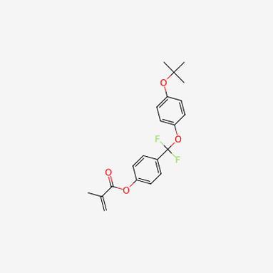 C=C(C)C(=O)Oc1ccc(C(F)(F)Oc2ccc(OC(C)(C)C)cc2)cc1